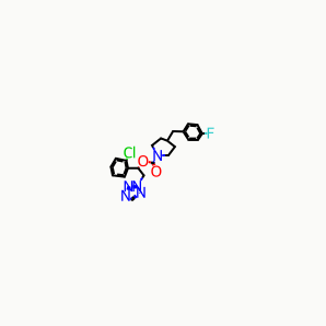 O=C(OC(Cn1ncnn1)c1ccccc1Cl)N1CCC(Cc2ccc(F)cc2)CC1